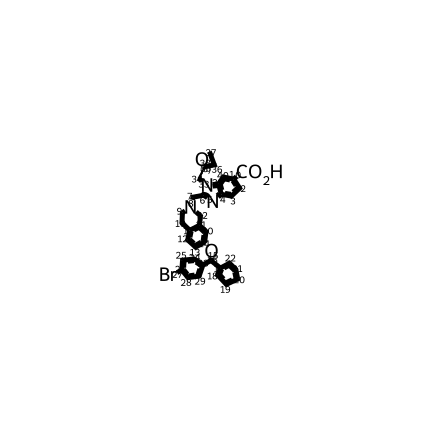 O=C(O)c1ccc2nc(CN3CCc4ccc(OC(c5ccccc5)c5ccc(Br)cc5)cc4C3)n(C[C@@H]3CCO3)c2c1